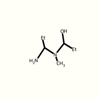 CCC(N)N(C)C(O)CC